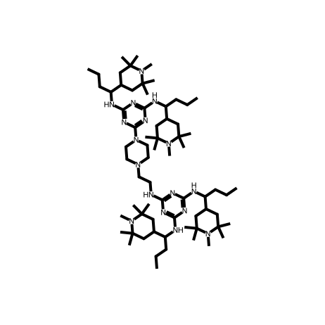 CCCC(Nc1nc(NCCN2CCN(c3nc(NC(CCC)C4CC(C)(C)N(C)C(C)(C)C4)nc(NC(CCC)C4CC(C)(C)N(C)C(C)(C)C4)n3)CC2)nc(NC(CCC)C2CC(C)(C)N(C)C(C)(C)C2)n1)C1CC(C)(C)N(C)C(C)(C)C1